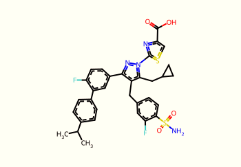 CC(C)c1ccc(-c2cc(-c3nn(-c4nc(C(=O)O)cs4)c(CC4CC4)c3Cc3ccc(S(N)(=O)=O)c(F)c3)ccc2F)cc1